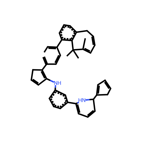 C=C(/C=C\C(=C/C)c1cccc2c1C(C)(C)/C(C)=C/C=C\C2)C1=C(Nc2cccc(C3=CC=CC(C4=CC=CC4)N3)c2)C=CC1